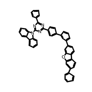 c1ccc(-c2ccc3c(c2)oc2cc(-c4cccc(-c5ccc(-c6nc(-c7ccccc7)nc(-n7c8ccccc8c8ccccc87)n6)cc5)c4)ccc23)cc1